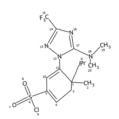 CC(C)C1(C)CC=C(S(=O)(=O)Cl)C=C1n1nc(C(F)(F)F)nc1N(C)C